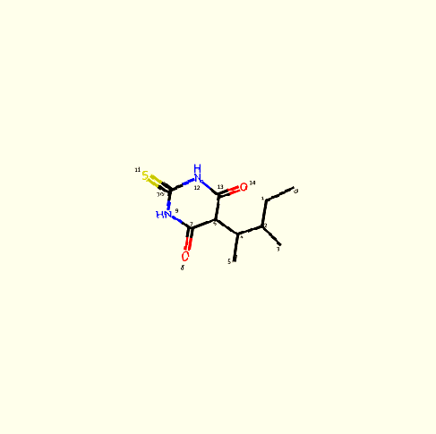 CCC(C)C(C)C1C(=O)NC(=S)NC1=O